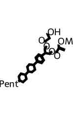 C=C(COC)C(=O)OCC(COC(=O)CCO)c1ccc(C2CCC(C3CCC(CCCCC)CC3)CC2)cc1